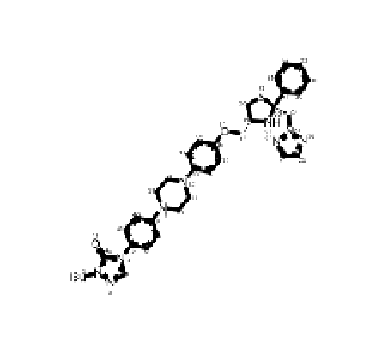 CCC(C)n1ncn(-c2ccc(N3CCN(c4ccc(OC[C@@H]5CS[C@@](Cn6nccn6)(c6ccccc6)N5)cc4)CC3)cc2)c1=O